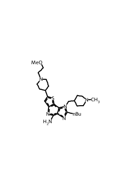 CCCCc1nc2c(N)nc3cc(C4CCN(CCOC)CC4)sc3c2n1CC1CCN(C)CC1